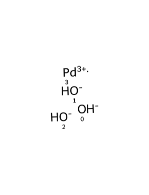 [OH-].[OH-].[OH-].[Pd+3]